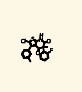 Cc1cccc(-c2c(Cl)sc3c2C(=O)C(C)(c2ccccc2F)C(=O)N3)c1